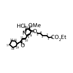 CCOC(=O)CCCCCOc1cc(C=CC(=O)C2CCCCC2)ncc1OC.Cl